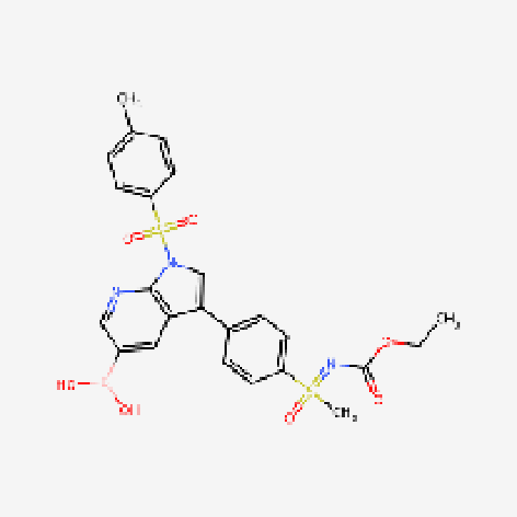 CCOC(=O)N=S(C)(=O)c1ccc(-c2cn(S(=O)(=O)c3ccc(C)cc3)c3ncc(B(O)O)cc23)cc1